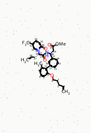 C=CCCCOc1cccc(C)c1-c1cccc([C@H](CC(=O)OC)NC(=O)[C@H](CC=C)n2cc(C(F)(F)F)ccc2=O)c1